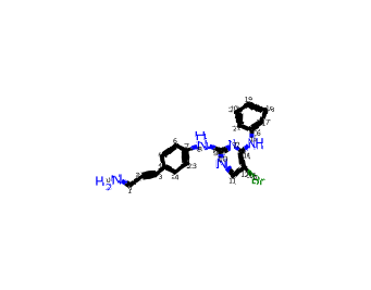 NCC#Cc1ccc(Nc2ncc(Br)c(Nc3ccccc3)n2)cc1